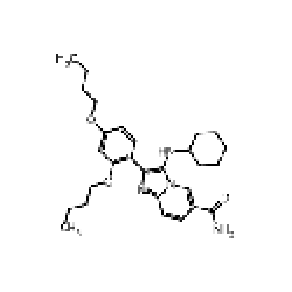 CCCCOc1ccc(-c2nc3ccc(C(N)=O)cn3c2NC2CCCCC2)c(OCCCC)c1